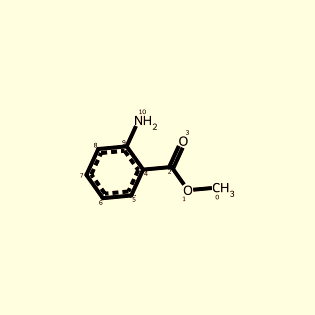 COC(=O)c1[c]cccc1N